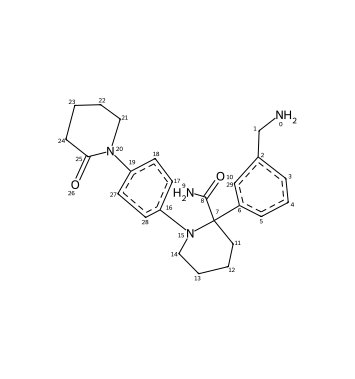 NCc1cccc(C2(C(N)=O)CCCCN2c2ccc(N3CCCCC3=O)cc2)c1